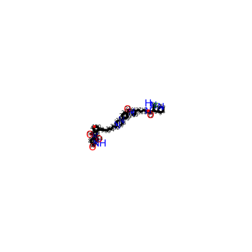 N#C/C(=C\c1cccnc1F)C(=O)NCCCCC1CCN(C(=O)c2ccc(N3CCN(CCCCCC#Cc4cccc5c4CN(C4CCC(=O)NC4=O)C5=O)CC3)cc2)C1